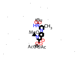 COc1c(N2C[C@@H](C)C[C@H](NC(=O)OC(C)(C)C)C2)ccc2c(=O)c(C(=O)OB(OC(C)=O)OC(C)=O)cn(C3CC3)c12